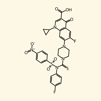 O=C(O)c1cn(C2CC2)c2cc(N3CCN(C(=S)N(c4ccc(F)cc4)S(=O)(=O)c4ccc([N+](=O)[O-])cc4)CC3)c(F)cc2c1=O